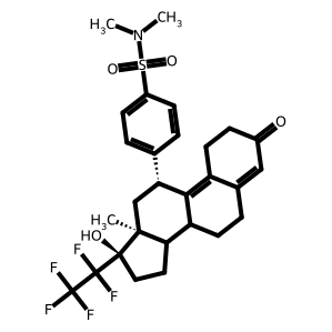 CN(C)S(=O)(=O)c1ccc([C@H]2C[C@@]3(C)C(CC[C@]3(O)C(F)(F)C(F)(F)F)C3CCC4=CC(=O)CCC4=C32)cc1